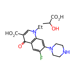 CC(O)C(=O)O.CCn1cc(C(=O)O)c(=O)c2cc(F)c(N3CCNCC3)cc21